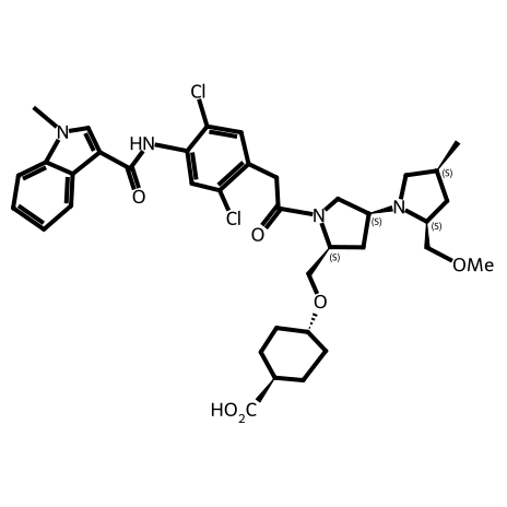 COC[C@@H]1C[C@H](C)CN1[C@H]1C[C@@H](CO[C@H]2CC[C@H](C(=O)O)CC2)N(C(=O)Cc2cc(Cl)c(NC(=O)c3cn(C)c4ccccc34)cc2Cl)C1